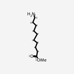 COC(=O)CCCCCCCCCN